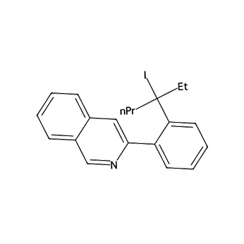 CCCC(I)(CC)c1ccccc1-c1cc2ccccc2cn1